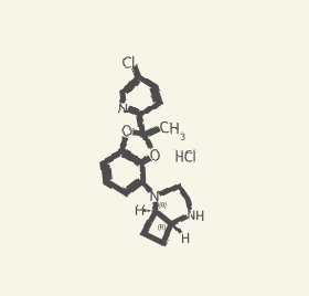 CC1(c2ccc(Cl)cn2)Oc2cccc(N3CCN[C@@H]4CC[C@H]43)c2O1.Cl